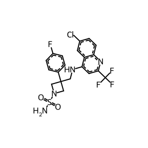 NS(=O)(=O)N1CC(CNc2cc(C(F)(F)F)nc3ccc(Cl)cc23)(c2ccc(F)cc2)C1